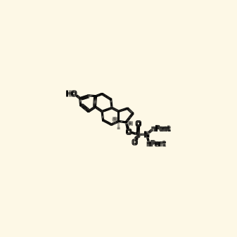 CCCCCN(CCCCC)S(=O)(=O)O[C@@H]1CCC2C3CCc4cc(O)ccc4C3CC[C@@]21C